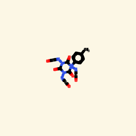 Cc1ccc([N+]2(N=C=O)C(=O)N(N=C=O)C(=O)N(N=C=O)C2=O)cc1